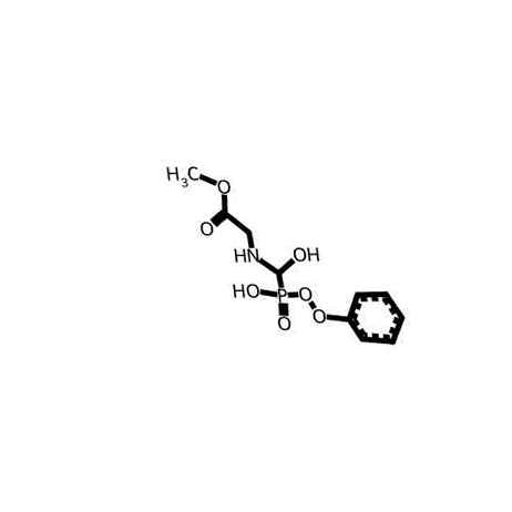 COC(=O)CNC(O)P(=O)(O)OOc1ccccc1